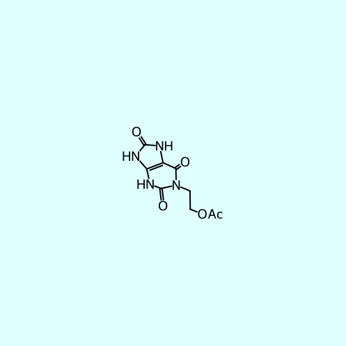 CC(=O)OCCn1c(=O)[nH]c2[nH]c(=O)[nH]c2c1=O